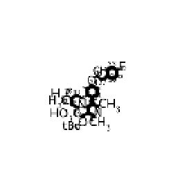 Cc1nc(C)c(C(OC(C)(C)C)C(=O)O)c(N2CCC(C)(C)CC2)c1-c1ccc(OC(C)Cc2ccc(F)cc2)cc1